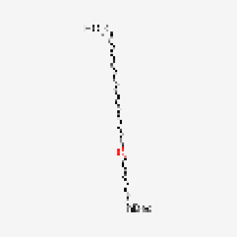 CCCCCCCCCCCCCCCCCCOCCCCCCCCCCCCCCCCCCCC(=O)O